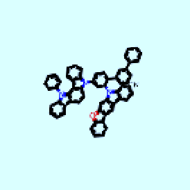 N#Cc1cc(-c2ccccc2)cc(-c2ccc(-n3c4ccccc4c4c3ccc3c5ccccc5n(-c5ccccc5)c34)cc2-n2c3ccccc3c3cc4c(cc32)oc2ccccc24)c1